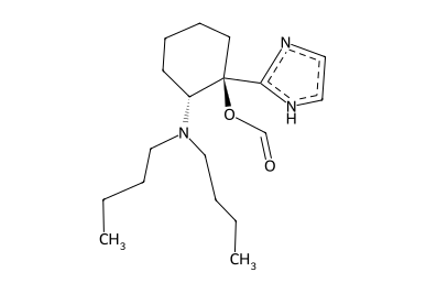 CCCCN(CCCC)[C@@H]1CCCC[C@]1(OC=O)c1ncc[nH]1